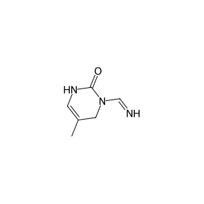 CC1=CNC(=O)N(C=N)C1